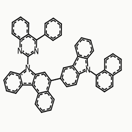 c1ccc(-c2nc(-n3c4ccccc4c4c5ccccc5c(-c5ccc6c(c5)c5ccccc5n6-c5cccc6ccccc56)cc43)nc3ccccc23)cc1